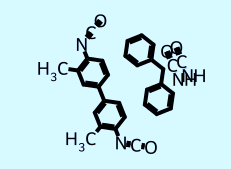 Cc1cc(-c2ccc(N=C=O)c(C)c2)ccc1N=C=O.N=C=O.N=C=O.c1ccc(Cc2ccccc2)cc1